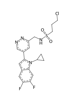 O=S(=O)(CCCCl)NCc1cc(-c2cc3cc(F)c(F)cc3n2C2CC2)cnn1